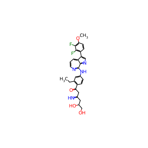 CCc1cc(Nc2ncccc3c(-c4ccc(OC)c(F)c4F)cnc2-3)ccc1C(=O)CC(=N)CC(O)CO